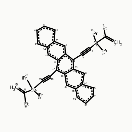 C=C(CC)[Si](C#Cc1c2cc3ccccc3cc2c(C#C[Si](C(=C)CC)(C(C)C)C(C)C)c2cc3ccccc3cc12)(C(C)C)C(C)C